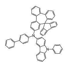 c1ccc(-c2ccc(N(c3ccc4c(c3)C3(c5ccccc5-c5ccccc5-4)c4ccccc4-c4ccccc43)c3ccc4c(c3)c3ccccc3n4-c3ccccc3)cc2)cc1